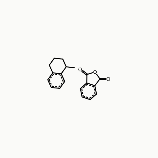 CC1CCCc2ccccc21.O=C1OC(=O)c2ccccc21